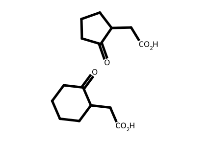 O=C(O)CC1CCCC1=O.O=C(O)CC1CCCCC1=O